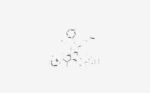 C=CCCO[C@@H](Cn1c(=O)n([C@@H]2CCNC2=O)c(=O)c2c(C)c(-n3cccn3)sc21)c1cc(F)ccc1OC